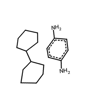 C1CCC(C2CCCCC2)CC1.Nc1ccc(N)cc1